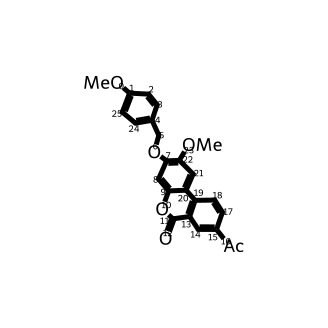 COc1ccc(COc2cc3oc(=O)c4cc(C(C)=O)ccc4c3cc2OC)cc1